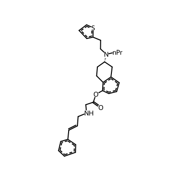 CCCN(CCc1cccs1)[C@H]1CCc2c(cccc2OC(=O)CNCC=Cc2ccccc2)C1